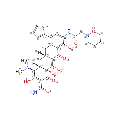 CN(C)[C@@H]1C(O)=C(C(N)=O)C(=O)[C@@]2(O)C(O)=C3C(=O)c4c(O)c(NC(=O)CN5CCCCO5)cc(-c5cccs5)c4C[C@H]3C[C@@H]12